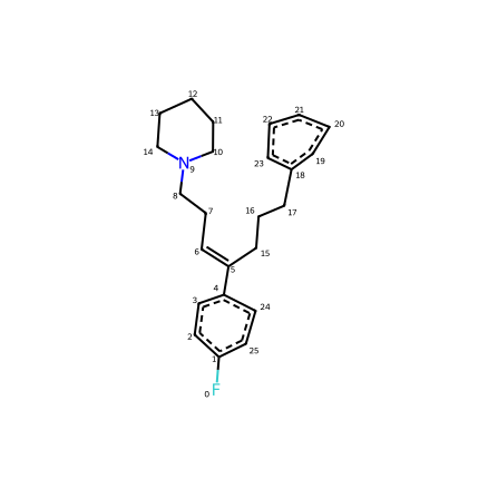 Fc1ccc(C(=CCCN2CCCCC2)CCCc2ccccc2)cc1